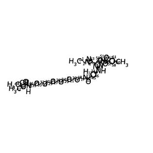 CCCn1cc(-c2nc(Nc3ccc(C(=O)NCCOCCOCCOCCOCCOCCOCCNC(=O)OC(C)(C)C)cc3)nc3c2ccn3S(=O)(=O)c2ccc(C)cc2)cn1